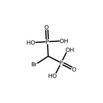 O=P(O)(O)C(Br)P(=O)(O)O